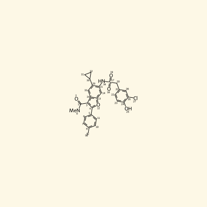 CNC(=O)c1c(-c2ccc(F)cc2)oc2cc(NS(=O)(=O)Cc3ccc(O)c(Cl)c3)c(C3CC3)cc12